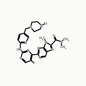 CCN1CCN(Cc2ccc(Nc3ncc(F)c(-c4ncc5nc(C(=O)N(C)C)n(C)c5n4)n3)nc2)CC1